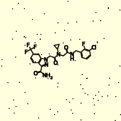 NC(=O)c1nn(CC(=O)N(CC(=O)NCc2cccc(Cl)c2F)C2CC2)c2cc(C(F)(F)F)ccc12